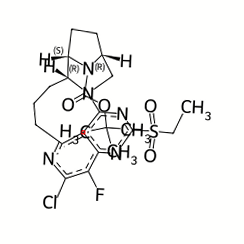 CCS(=O)(=O)c1nc2c3c(nc(Cl)c(F)c3n1)CCC[C@@H]1[C@@H]3CC[C@H](CN21)N3C(=O)OC(C)(C)C